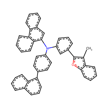 Cc1c(-c2cccc(N(c3ccc(-c4cccc5ccccc45)cc3)c3cc4ccccc4c4ccccc34)c2)oc2ccccc12